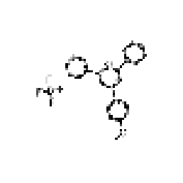 COc1ccc(-c2cc(-c3ccccc3)[s+]c(-c3ccccc3)c2)cc1.F[B-](F)(F)F